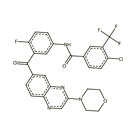 O=C(Nc1ccc(F)c(C(=O)c2ccc3ncc(N4CCOCC4)nc3c2)c1)c1ccc(Cl)c(C(F)(F)F)c1